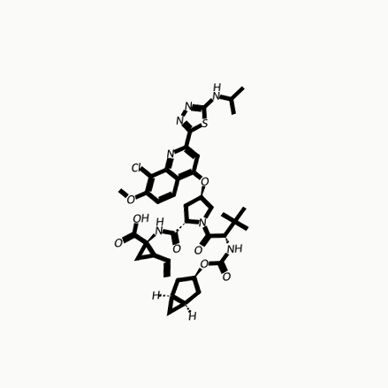 C=CC1C[C@]1(NC(=O)[C@@H]1C[C@@H](Oc2cc(-c3nnc(NC(C)C)s3)nc3c(Cl)c(OC)ccc23)CN1C(=O)[C@@H](NC(=O)O[C@@H]1C[C@@H]2C[C@@H]2C1)C(C)(C)C)C(=O)O